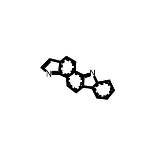 C1=Cc2ccc3c4c(ccc3c2=N1)-c1ccccc1N=4